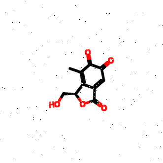 CC1=C2C(=CC(=O)C1=O)C(=O)O[C@H]2CO